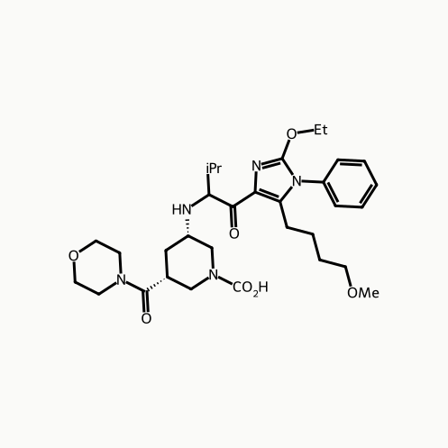 CCOc1nc(C(=O)C(N[C@H]2C[C@@H](C(=O)N3CCOCC3)CN(C(=O)O)C2)C(C)C)c(CCCCOC)n1-c1ccccc1